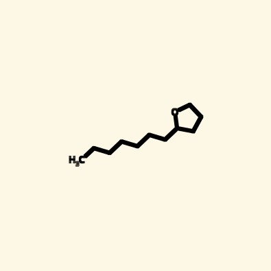 CCCCCCCC1CCCO1